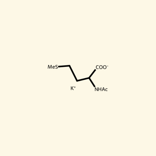 CSCCC(NC(C)=O)C(=O)[O-].[K+]